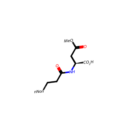 CCCCCCCCCCCC(=O)N[C@@H](CC(=O)OC)C(=O)O